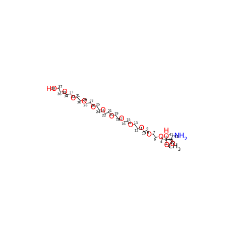 COC(O)(COCCOCCOCCOCCOCCOCCOCCOCCOCCOCCOCCO)C(=O)CN